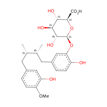 COc1ccc(C[C@H](C)[C@H](C)Cc2ccc(O)c(O[C@@H]3O[C@H](C(=O)O)[C@@H](O)[C@H](O)[C@H]3O)c2)cc1O